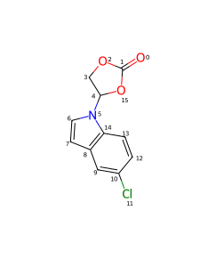 O=C1OCC(n2ccc3cc(Cl)ccc32)O1